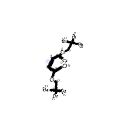 O=C(/C=C\C(=O)OCC(Br)(Br)Br)OCC(Br)(Br)Br